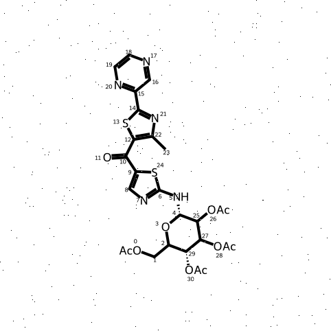 CC(=O)OCC1O[C@H](Nc2ncc(C(=O)c3sc(-c4cnccn4)nc3C)s2)C(OC(C)=O)C(OC(C)=O)[C@@H]1OC(C)=O